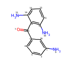 Nc1cccc(C(=O)c2c(N)cccc2N)c1